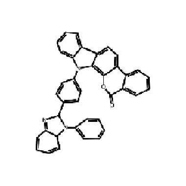 O=c1oc2c(ccc3c4ccccc4n(-c4ccc(C5N=C6C=CC=CC6N5c5ccccc5)cc4)c32)c2ccccc12